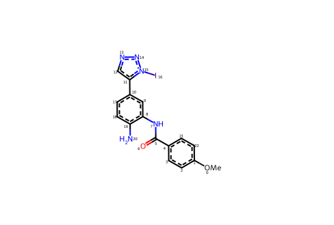 COc1ccc(C(=O)Nc2cc(-c3cnnn3I)ccc2N)cc1